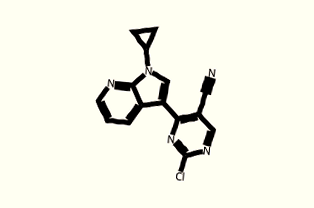 N#Cc1cnc(Cl)nc1-c1cn(C2CC2)c2ncccc12